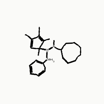 CC1=C[C](C)([Ti]([SiH2]c2ccccc2)[N](C)C2CCCCCCC2)C(C)=C1C